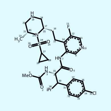 COC(=O)N[C@H](C(=O)Nc1cncc(F)c1CC[C@H]1CNC[C@@H](C)N1S(=O)(=O)C1CC1)C(c1ccc(Cl)cc1)C(C)C